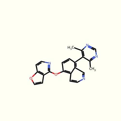 Cc1ncnc(C)c1-c1ccc(Oc2nccc3occc23)c2ccncc12